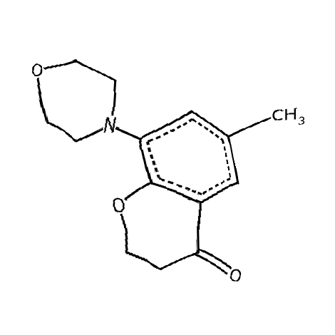 Cc1cc2c(c(N3CCOCC3)c1)OCCC2=O